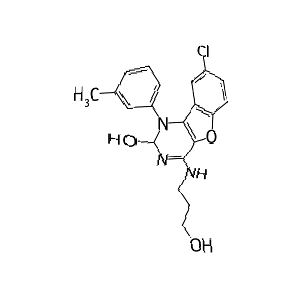 Cc1cccc(N2c3c(oc4ccc(Cl)cc34)C(NCCCO)=NC2O)c1